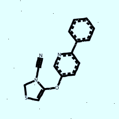 N#CN1CSC=C1Oc1ccc(-c2ccccc2)nc1